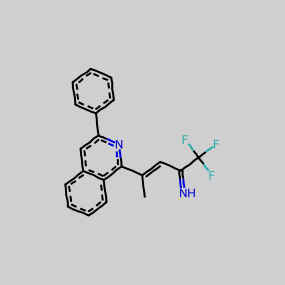 C/C(=C\C(=N)C(F)(F)F)c1nc(-c2ccccc2)cc2ccccc12